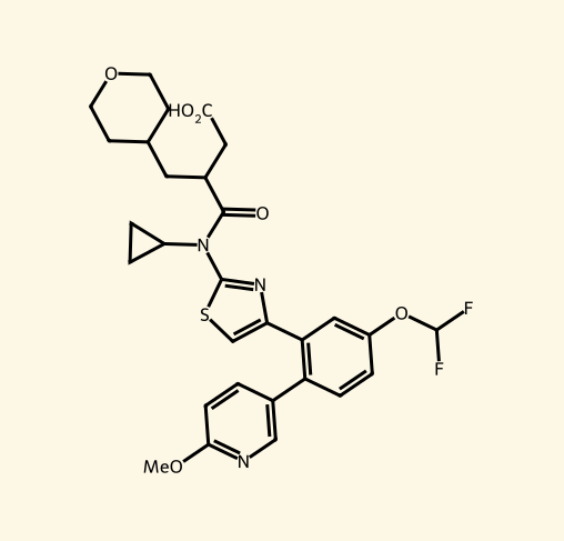 COc1ccc(-c2ccc(OC(F)F)cc2-c2csc(N(C(=O)C(CC(=O)O)CC3CCOCC3)C3CC3)n2)cn1